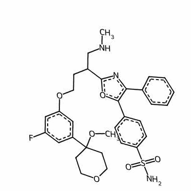 CNCC(CCOc1cc(F)cc(C2(OC)CCOCC2)c1)c1nc(-c2ccccc2)c(-c2ccc(S(N)(=O)=O)cc2)o1